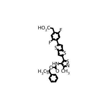 Cc1nsc(-c2cc3sc(-c4cc(F)c(CC(=O)O)cc4F)cc3s2)c1NC(=O)O[C@H](C)c1ccccc1